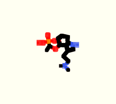 CC(Oc1cccc2[nH]cc(CCN(C)C)c12)P(=O)(O)O